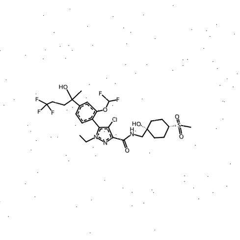 CCn1nc(C(=O)NC[C@]2(O)CC[C@@H](S(C)(=O)=O)CC2)c(Cl)c1-c1ccc(C(C)(O)CCC(F)(F)F)cc1OC(F)F